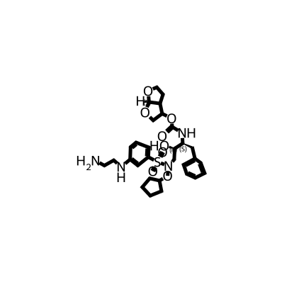 NCCNc1cccc(S(=O)(=O)N(C[C@@H](O)[C@H](Cc2ccccc2)NC(=O)OC2CO[C@@H]3OCCC23)OC2CCCC2)c1